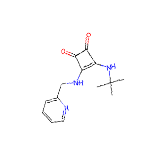 CC(C)(C)Nc1c(NCc2ccccn2)c(=O)c1=O